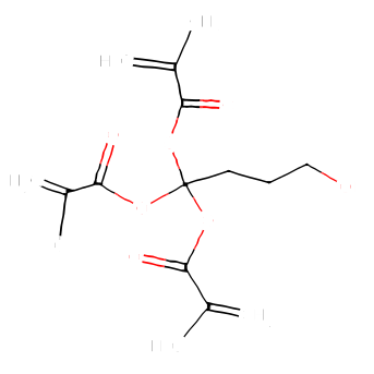 C=C(C)C(=O)OC(CCCO)(OC(=O)C(=C)C)OC(=O)C(=C)C